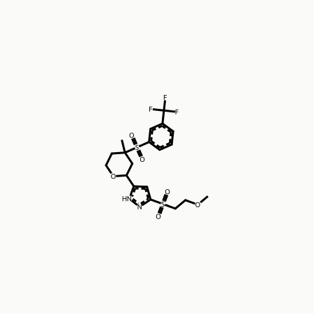 COCCS(=O)(=O)c1cc(C2CC(C)(S(=O)(=O)c3cccc(C(F)(F)F)c3)CCO2)[nH]n1